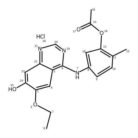 CCOc1cc2c(Nc3ccc(C)c(OC(C)=O)c3)ncnc2cc1O.Cl